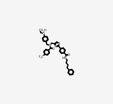 O=C(O)COc1ccc(CN(Cc2csc(-c3ccc(C(=O)NCCCCc4ccccc4)cc3)n2)C(=O)c2ccc(C(F)(F)F)cc2)cc1